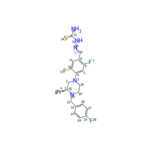 CC(C)[C@H]1CN(c2cc(F)c(/C=N/NC(N)=S)cc2F)CCN1Cc1ccc(F)cc1